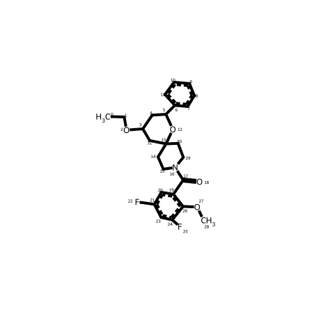 CCOC1CC(c2ccccc2)OC2(CCN(C(=O)c3cc(F)cc(F)c3OC)CC2)C1